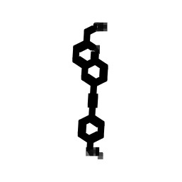 Nc1ccc(C#Cc2ccc3nc(CO)ccc3c2)cc1